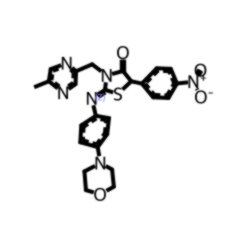 Cc1cnc(CN2C(=O)C(c3ccc([N+](=O)[O-])cc3)S/C2=N\c2ccc(N3CCOCC3)cc2)cn1